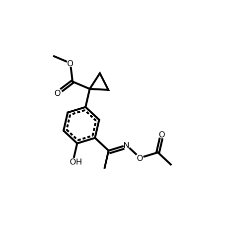 COC(=O)C1(c2ccc(O)c(C(C)=NOC(C)=O)c2)CC1